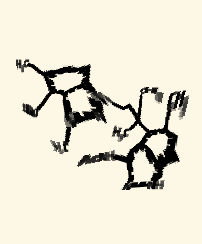 CC(=O)Nc1n[nH]c2ccc(C)c(C(C)(C)C[n+]3nn(C)c4c(C(C)(C)C)c(C)ccc43)c12